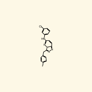 Fc1ccc(Cc2nnc3ccc(Nc4cccc(Cl)c4)nn23)cc1